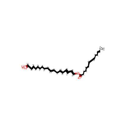 CCCCCCCCC=CCCCCCCCCCC(=O)OCCCCCCCCCCCCCCCCCCO